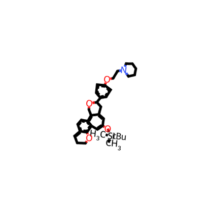 CC(C)(C)[Si](C)(C)OC1=Cc2c3c(ccc2=C2COC(c4ccc(OCCN5CCCCC5)cc4)CC2=C1)=CCCO3